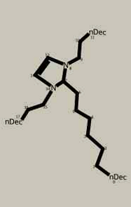 CCCCCCCCCCCCCCCCC1N(CCCCCCCCCCCC)C=CN1CCCCCCCCCCCC